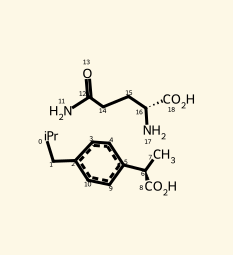 CC(C)Cc1ccc([C@@H](C)C(=O)O)cc1.NC(=O)CC[C@@H](N)C(=O)O